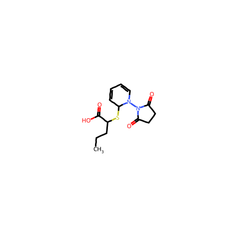 CCCC(SC1C=CC=CN1N1C(=O)CCC1=O)C(=O)O